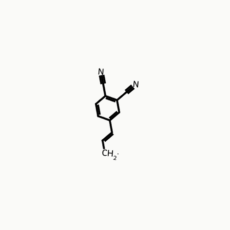 [CH2]/C=C/c1ccc(C#N)c(C#N)c1